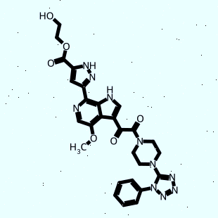 COc1cnc(-c2cc(C(=O)OCCO)[nH]n2)c2[nH]cc(C(=O)C(=O)N3CCN(c4nnnn4-c4ccccc4)CC3)c12